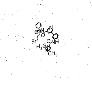 Cc1cc(C(=O)Nc2cccc(-c3cncc(C(=O)N=[S@](=O)(CCCBr)C4C=CC=CC4)c3)c2)n(C)n1